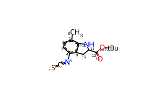 Cc1ccc(N=C=S)c2c1NC(C(=O)OC(C)(C)C)C2